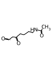 CC(=O)NCCCCC(=O)C[C]=O